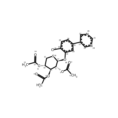 CC(=O)O[C@@H]1[C@@H](OC(C)=O)[C@H](OC(C)=O)CS[C@H]1Oc1cc(-c2cncnc2)ccc1Cl